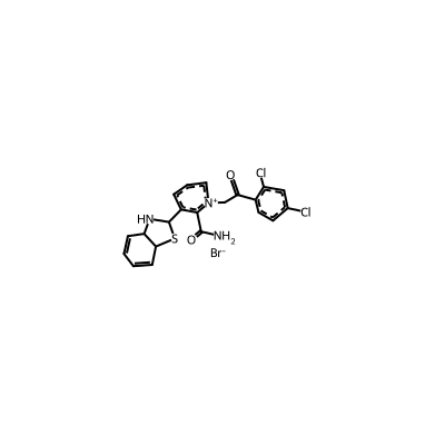 NC(=O)c1c(C2NC3C=CC=CC3S2)ccc[n+]1CC(=O)c1ccc(Cl)cc1Cl.[Br-]